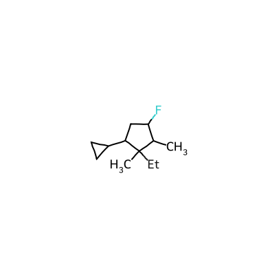 CCC1(C)C(C)C(F)CC1C1CC1